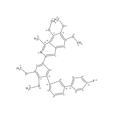 COc1cc(-c2cc3cc(OC)c(OC)c(OC)c3c(C)n2)cc(-c2cccc(-c3ccc(F)cc3)c2)c1OC